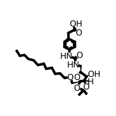 CCCCCCCCCCCCOC[C@@]12O[C@@H](CNC(=O)Nc3ccc(CC(=O)O)cc3)[C@@H](O)[C@@H]1OC(C)(C)O2